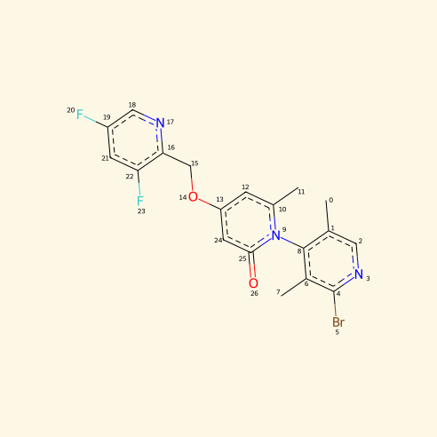 Cc1cnc(Br)c(C)c1-n1c(C)cc(OCc2ncc(F)cc2F)cc1=O